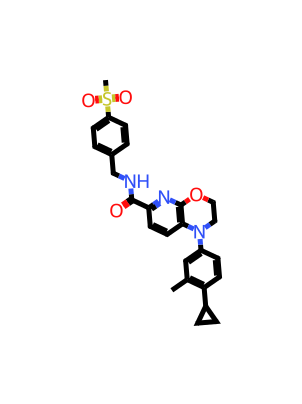 Cc1cc(N2CCOc3nc(C(=O)NCc4ccc(S(C)(=O)=O)cc4)ccc32)ccc1C1CC1